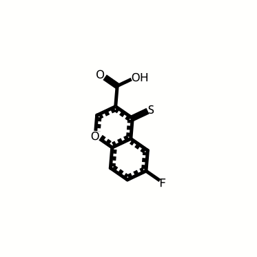 O=C(O)c1coc2ccc(F)cc2c1=S